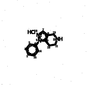 Cl.c1ccc(-n2ncc3c2CCNC3)cc1